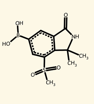 CC1(C)NC(=O)c2cc(B(O)O)cc(S(C)(=O)=O)c21